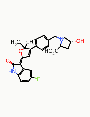 CC1(C)OC(=C2C(=O)Nc3ccc(F)cc32)C=C1c1ccc(CN2C[C@H](O)C[C@H]2C(=O)O)cc1